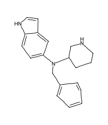 c1ccc(CN(c2ccc3[nH]ccc3c2)C2CCCNC2)cc1